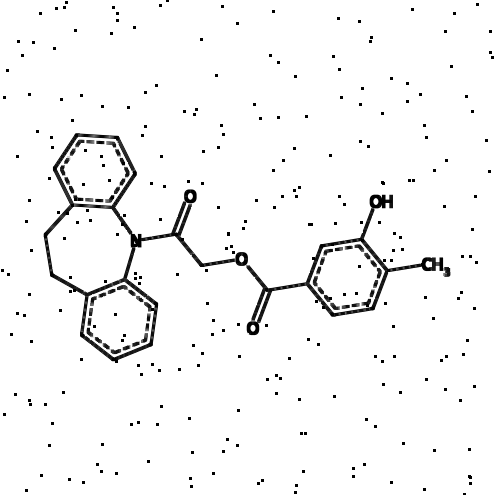 Cc1ccc(C(=O)OCC(=O)N2c3ccccc3CCc3ccccc32)cc1O